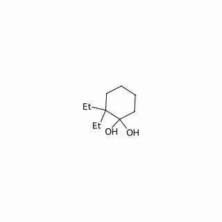 CCC1(CC)CCCCC1(O)O